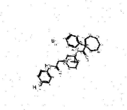 Cc1ccc(NC(=O)C[N+]23CCC(CC2)C(OC(=O)C2(c4ccccc4)CCCCCC2)C3)cc1.[Br-]